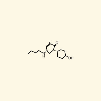 CCCCNN1C=NC(=O)C([C@H]2CC[C@H](O)CC2)C1